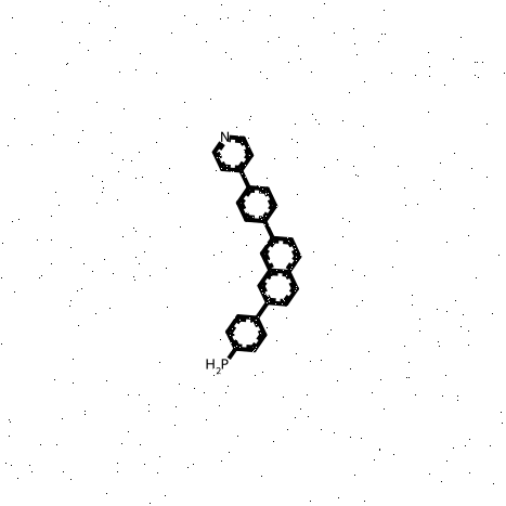 Pc1ccc(-c2ccc3ccc(-c4ccc(-c5ccncc5)cc4)cc3c2)cc1